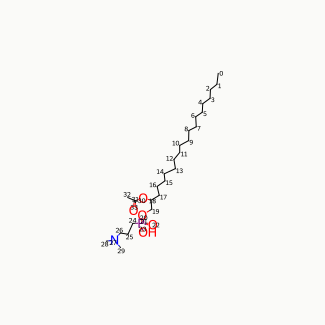 CCCCCCCCCCCCCCCCCCC(COP(=O)(O)CCCN(C)C)OC(C)=O